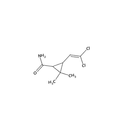 CC1(C)C(C=C(Cl)Cl)C1C(N)=O